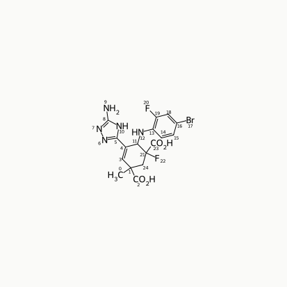 CC1(C(=O)O)C=C(c2nnc(N)[nH]2)C(Nc2ccc(Br)cc2F)C(F)(C(=O)O)C1